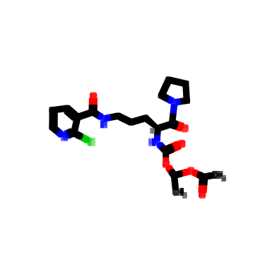 CC(=O)OC(C)OC(=O)N[C@@H](CCCNC(=O)c1cccnc1Cl)C(=O)N1CCCC1